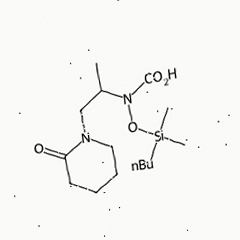 CCCC[Si](C)(C)ON(C(=O)O)C(C)CN1CCCCC1=O